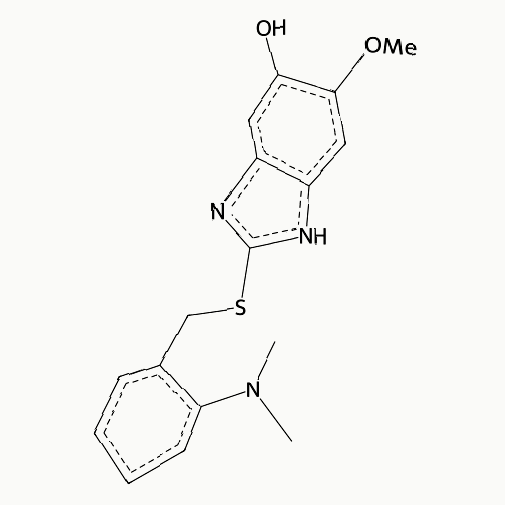 COc1cc2[nH]c(SCc3ccccc3N(C)C)nc2cc1O